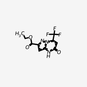 CCOC(=O)c1cc2[nH]c(=O)cc(C(F)(F)F)n2n1